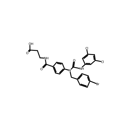 O=C(O)CCNC(=O)c1ccc(N(Cc2ccc(Br)cc2)C(=O)Nc2cc(Cl)cc(Cl)c2)cc1